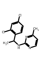 Cc1ccnc(NC(C)c2ccc(Cl)cc2Cl)n1